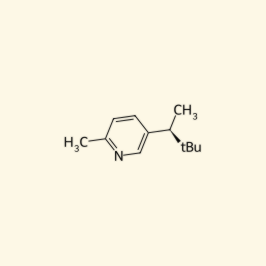 Cc1ccc([C@@H](C)C(C)(C)C)cn1